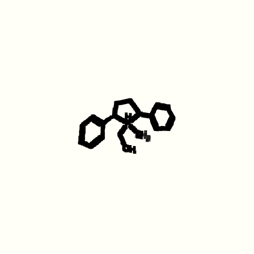 B[PH]1(CO)C(c2ccccc2)CC[C@@H]1c1ccccc1